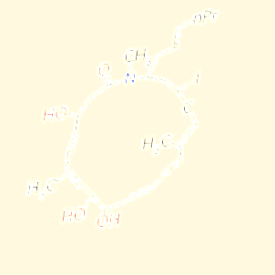 CCC/C=C/CC1CC(I)C/C=C(C)/C=C/C=C\C(O)C(O)/C=C(C)\C=C\C(O)CC(=O)N1C